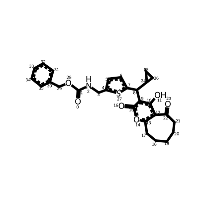 O=C(NCc1ccc(C(c2c(O)c3c(oc2=O)CCCCCC3=O)C2CC2)s1)OCc1ccccc1